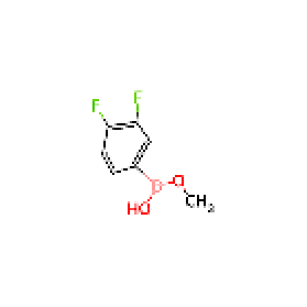 COB(O)c1ccc(F)c(F)c1